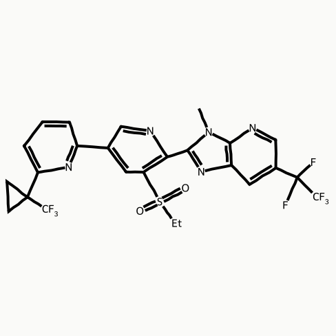 CCS(=O)(=O)c1cc(-c2cccc(C3(C(F)(F)F)CC3)n2)cnc1-c1nc2cc(C(F)(F)C(F)(F)F)cnc2n1C